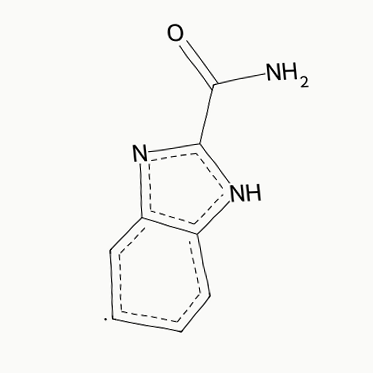 NC(=O)c1nc2c[c]ccc2[nH]1